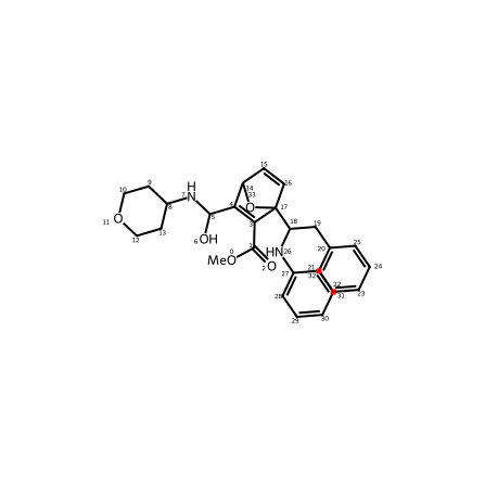 COC(=O)C1=C(C(O)NC2CCOCC2)C2C=CC1(C(Cc1ccccc1)Nc1ccccc1)O2